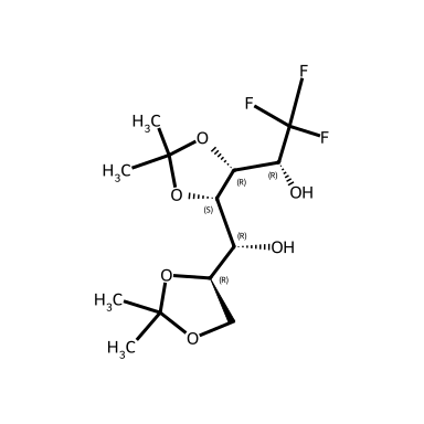 CC1(C)O[C@@H]([C@H](O)[C@H]2COC(C)(C)O2)[C@@H]([C@@H](O)C(F)(F)F)O1